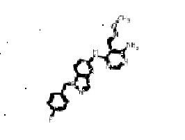 CON=Cc1c(N)ncnc1Nc1ccc2c(cnn2Cc2ccc(F)cc2)c1